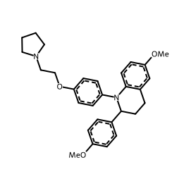 COc1ccc(C2CCc3cc(OC)ccc3N2c2ccc(OCCN3CCCC3)cc2)cc1